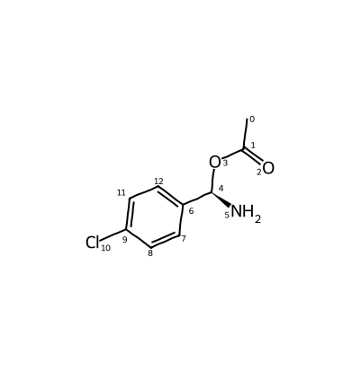 CC(=O)O[C@@H](N)c1ccc(Cl)cc1